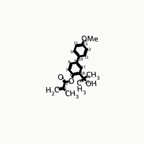 C=C(C)C(=O)Oc1ccc(-c2ccc(OC)cc2)cc1C(C)(C)O